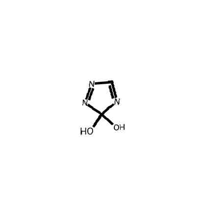 OC1(O)N=CN=N1